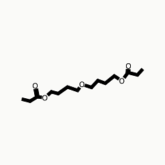 CCC(=O)OCCCCOCCCCOC(=O)CC